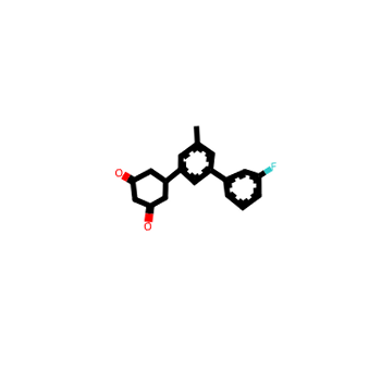 Cc1cc(-c2cccc(F)c2)cc(C2CC(=O)CC(=O)C2)c1